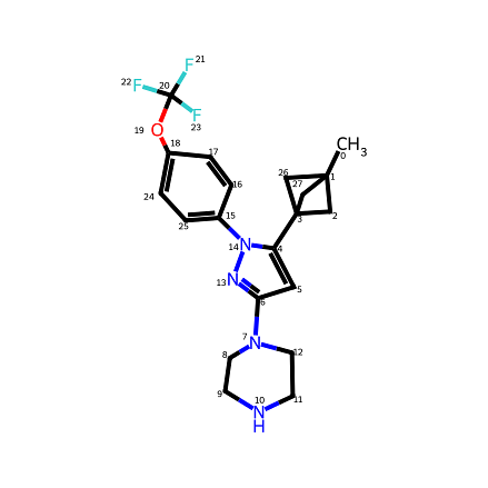 CC12CC(c3cc(N4CCNCC4)nn3-c3ccc(OC(F)(F)F)cc3)(C1)C2